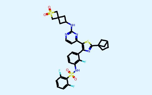 O=S1(=O)CC2(CC(Nc3nccc(-c4sc(C56CCC(C5)C6)nc4-c4cccc(NS(=O)(=O)c5c(F)cccc5F)c4F)n3)C2)C1